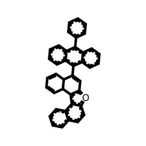 C1=CC2C(c3c4ccccc4c(-c4ccccc4)c4ccccc34)=Cc3oc4ccc5ccccc5c4c3C2C=C1